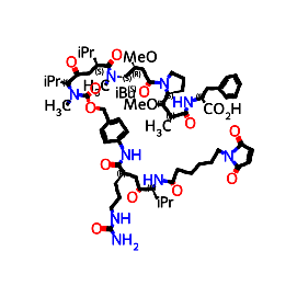 CC[C@H](C)[C@@H]([C@@H](CC(=O)N1CCC[C@H]1[C@H](OC)[C@@H](C)C(=O)N[C@@H](Cc1ccccc1)C(=O)O)OC)N(C)C(=O)[C@@H](CC(=O)[C@H](C(C)C)N(C)C(=O)OCc1ccc(NC(=O)[C@H](CCCNC(N)=O)CC(=O)[C@@H](NC(=O)CCCCCN2C(=O)C=CC2=O)C(C)C)cc1)C(C)C